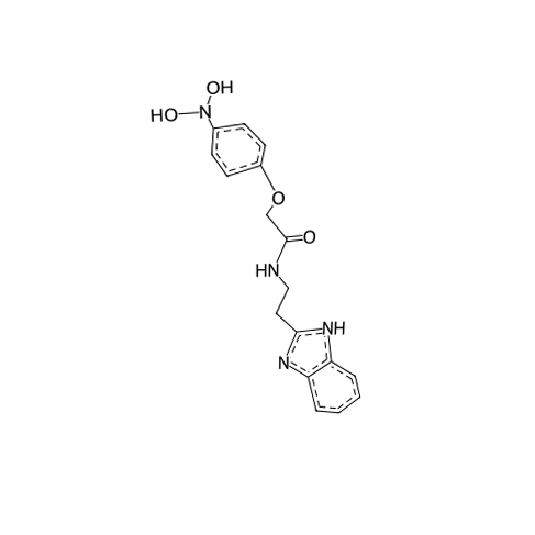 O=C(COc1ccc(N(O)O)cc1)NCCc1nc2ccccc2[nH]1